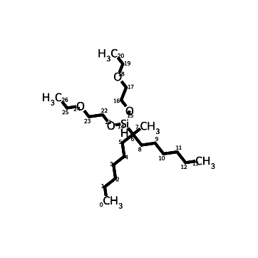 CCCCCCC(C)(CCCCCC)[SiH](OCCOCC)OCCOCC